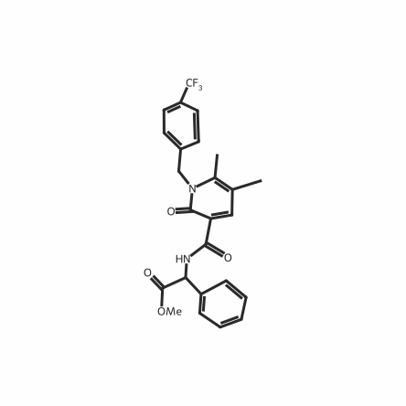 COC(=O)C(NC(=O)c1cc(C)c(C)n(Cc2ccc(C(F)(F)F)cc2)c1=O)c1ccccc1